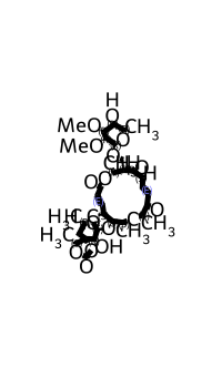 CO[C@@H]1[C@H](O)[C@@H](C)O[C@@H](OC[C@H]2[C@H]3O[C@H]3/C=C/C(=O)[C@H](C)C[C@H](C)[C@H](O[C@@H]3O[C@H](C)CC4(OC(=O)O[C@H]4C)[C@H]3O)[C@@H](C)/C=C/C(=O)O[C@@H]2C)[C@@H]1OC